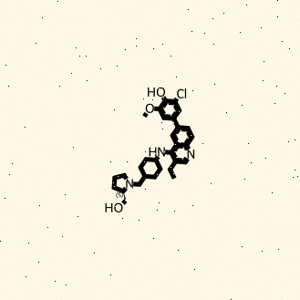 CCc1cnc2ccc(-c3cc(Cl)c(O)c(OC)c3)cc2c1NC1CCC(CN2CCC[C@H]2CO)CC1